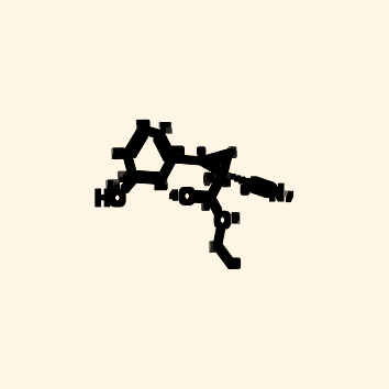 CCOC(=O)[C@]1(C#N)C=C1c1cccc(O)c1